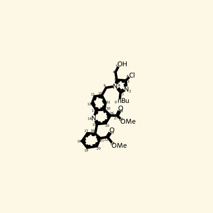 CCCCc1nc(Cl)c(CO)n1Cc1ccc2nc(-c3ccccc3C(=O)OC)cc(C(=O)OC)c2c1